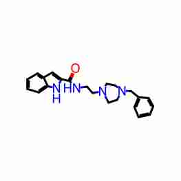 O=C(NCCN1CCN(Cc2ccccc2)CC1)c1cc2ccccc2[nH]1